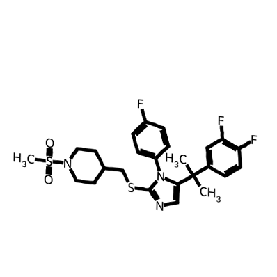 CC(C)(c1ccc(F)c(F)c1)c1cnc(SCC2CCN(S(C)(=O)=O)CC2)n1-c1ccc(F)cc1